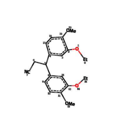 CCOc1cc(C(CC#N)c2ccc(OC)c(OCC)c2)ccc1OC